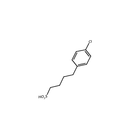 O=S(=O)(O)CCCCc1ccc(Cl)cc1